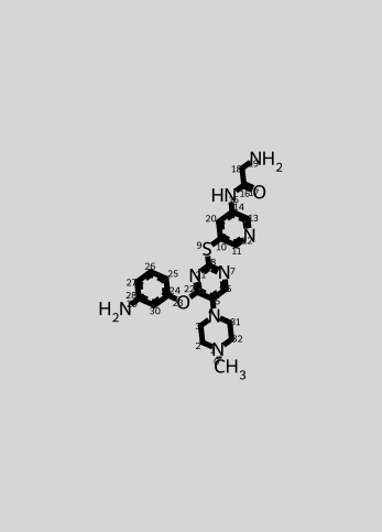 CN1CCN(c2cnc(Sc3cncc(NC(=O)CN)c3)nc2Oc2cccc(N)c2)CC1